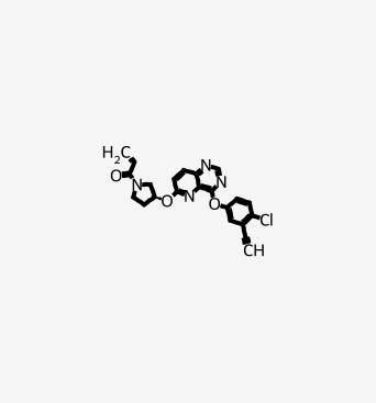 C#Cc1cc(Oc2ncnc3ccc(O[C@H]4CCN(C(=O)C=C)C4)nc23)ccc1Cl